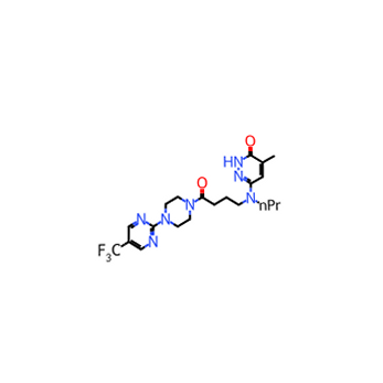 CCCN(CCCC(=O)N1CCN(c2ncc(C(F)(F)F)cn2)CC1)c1cc(C)c(=O)[nH]n1